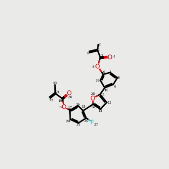 C=C(C)C(=O)Oc1cccc(-c2ccc(-c3cc(OC(=O)C(=C)C)ccc3F)o2)c1